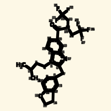 CC(C)CCn1c(Cc2ccc3c(c2)CCO3)nc2cc(C(=O)N(CC(F)(F)F)CC(F)(F)F)ccc21